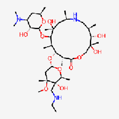 CCNC[C@]1(O)[C@H](C)O[C@@H](O[C@@H]2[C@@H](C)[C@@H](O[C@@H]3O[C@H](C)C[C@H](N(C)C)[C@H]3O)[C@](C)(O)C[C@@H](C)NC[C@@H](C)[C@H](O)[C@](C)(O)COC(=O)[C@@H]2C)C[C@@]1(C)OC